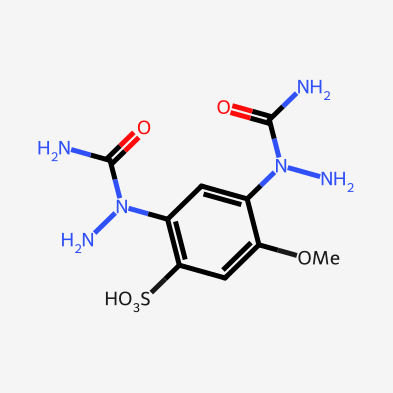 COc1cc(S(=O)(=O)O)c(N(N)C(N)=O)cc1N(N)C(N)=O